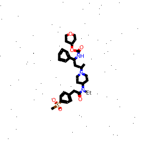 CCN(C(=O)Cc1ccc(S(C)(=O)=O)cc1)C1CCN(C(C)CC(NC(=O)OC2CCOCC2)c2ccccc2)CC1